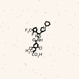 C/C(=C\c1c(Cl)cc(C(=O)Nc2nc(-c3cccc(C(F)(F)F)c3F)c(C3=CCN(C4CCCCC4)CC3)s2)cc1Cl)C(=O)O